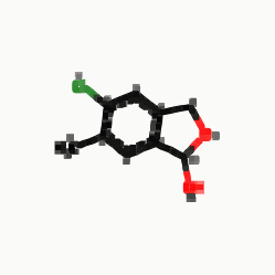 Cc1cc2c(cc1Cl)COC2O